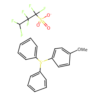 COc1ccc([S+](c2ccccc2)c2ccccc2)cc1.O=S(=O)([O-])C(F)(F)C(F)(F)C(F)F